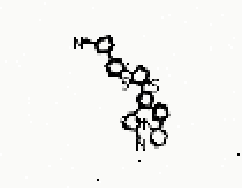 N#Cc1cccc(-c2ccc3c(c2)C2C=Cc4sc5ccc(-c6cccc(C#N)c6-n6c7c(c8ccccc86)CCC=C7)cc5c4C2S3)c1